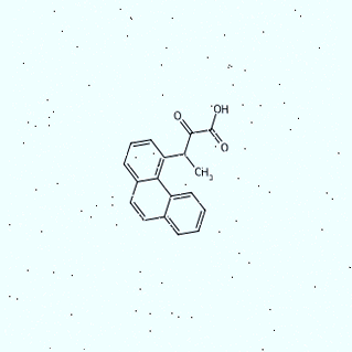 CC(C(=O)C(=O)O)c1cccc2ccc3ccccc3c12